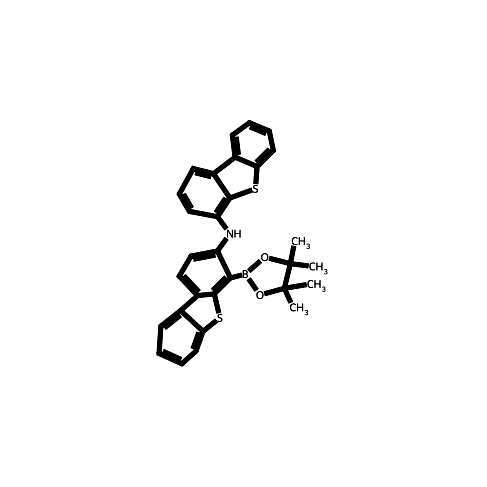 CC1(C)OB(c2c(Nc3cccc4c3sc3ccccc34)ccc3c2sc2ccccc23)OC1(C)C